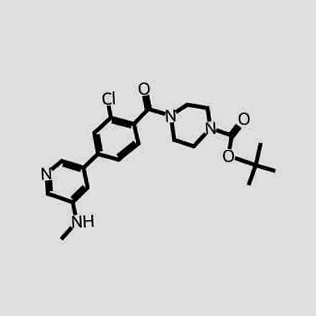 CNc1cncc(-c2ccc(C(=O)N3CCN(C(=O)OC(C)(C)C)CC3)c(Cl)c2)c1